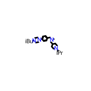 CCC(C)N1CCN(c2ccc(CN(C)CC3CCN(CC(C)C)CC3)cc2)CC1